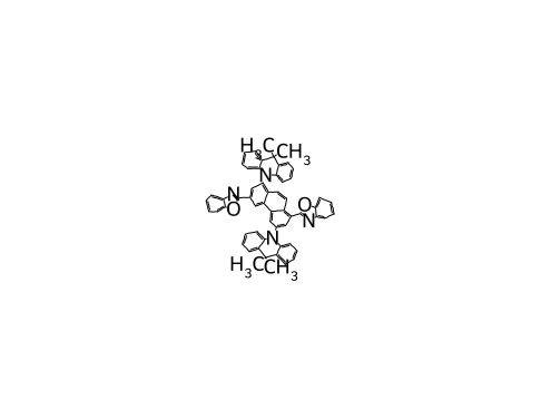 CC1(C)c2ccccc2N(c2cc(-c3nc4ccccc4o3)c3ccc4c(N5c6ccccc6C(C)(C)c6ccccc65)cc(-c5nc6ccccc6o5)cc4c3c2)c2ccccc21